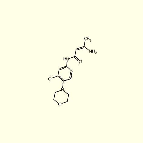 CC(N)=CC(=O)Nc1ccc(N2CCOCC2)c(Cl)c1